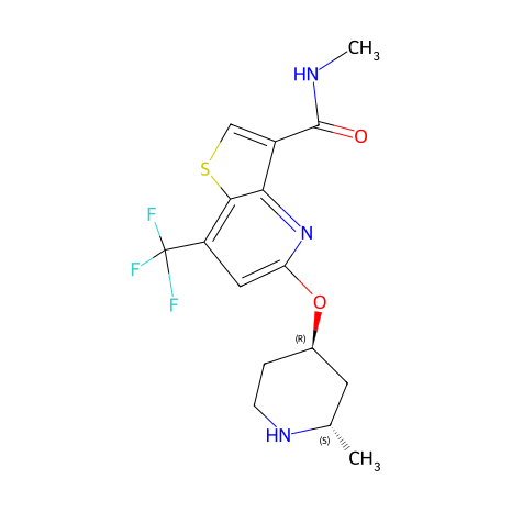 CNC(=O)c1csc2c(C(F)(F)F)cc(O[C@@H]3CCN[C@@H](C)C3)nc12